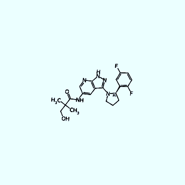 CC(C)(CO)C(=O)Nc1cnc2[nH]nc(N3CCC[C@@H]3c3cc(F)ccc3F)c2c1